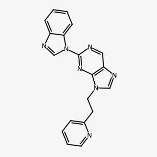 c1ccc(CCn2cnc3cnc(-n4cnc5ccccc54)nc32)nc1